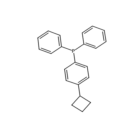 c1ccc(P(c2ccccc2)c2ccc(C3CCC3)cc2)cc1